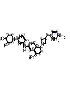 CC(C)c1ccc(N2CC(CN(N)/C=C\N)C2)c2cnc(Nc3ccnc(N4CCC(O)C(F)C4)n3)cc12